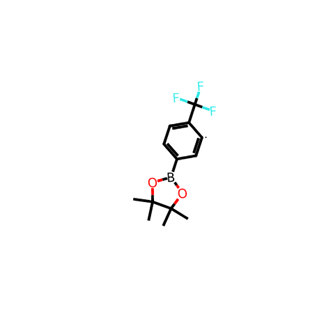 CC1(C)OB(c2c[c]c(C(F)(F)F)cc2)OC1(C)C